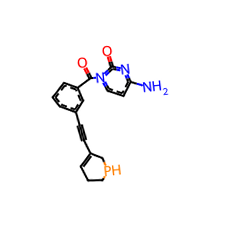 Nc1ccn(C(=O)c2cccc(C#CC3=CCCPC3)c2)c(=O)n1